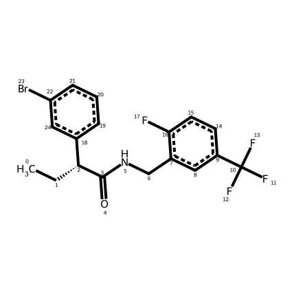 CC[C@@H](C(=O)NCc1cc(C(F)(F)F)ccc1F)c1cccc(Br)c1